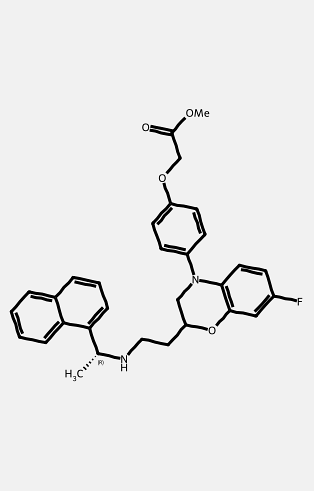 COC(=O)COc1ccc(N2CC(CCN[C@H](C)c3cccc4ccccc34)Oc3cc(F)ccc32)cc1